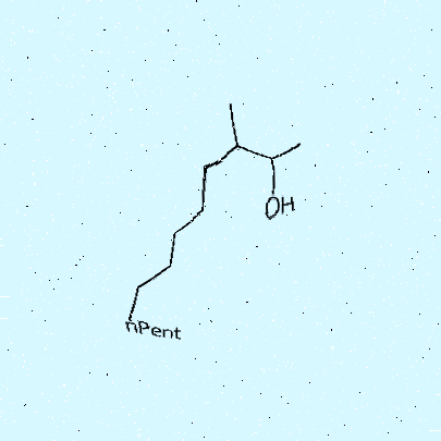 CCCCCCCCCC[C](C)C(C)O